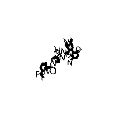 COc1ccc(C#N)cc1-c1cc(C)ncc1C(=O)Nc1nc2c(s1)CN(C(=O)c1cccc(C(F)F)n1)C2